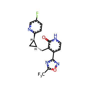 O=c1[nH]ccc(-c2noc(C(F)(F)F)n2)c1C[C@@H]1C[C@H]1c1ccc(F)cn1